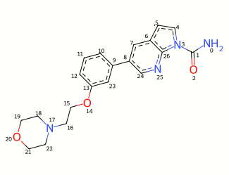 NC(=O)n1c[c]c2cc(-c3cccc(OCCN4CCOCC4)c3)cnc21